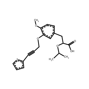 COc1ccc(CC(OC(C)C)C(=O)O)cc1OCC#Cc1cccs1